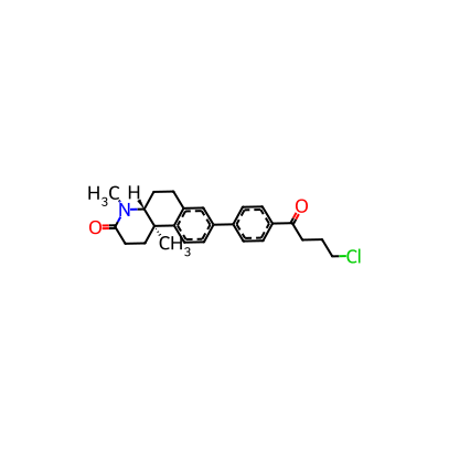 CN1C(=O)CC[C@]2(C)c3ccc(-c4ccc(C(=O)CCCCl)cc4)cc3CC[C@@H]12